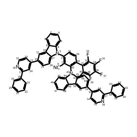 N#Cc1c(-n2c3ccccc3c3cc(-c4ccnc(-c5ccccc5)c4)ccc32)ccc(-c2c(F)c(F)c(F)c(F)c2F)c1-n1c2ccccc2c2cc(-c3ccnc(-c4ccccc4)c3)ccc21